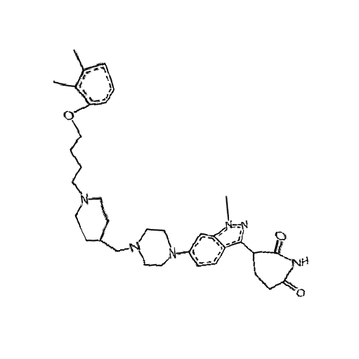 Cc1cccc(OCCCCN2CCC(CN3CCN(c4ccc5c(C6CCC(=O)NC6=O)nn(C)c5c4)CC3)CC2)c1C